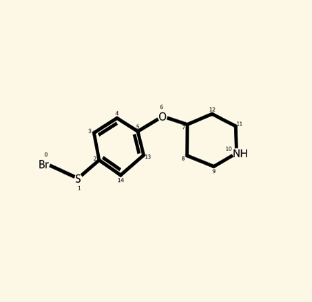 BrSc1ccc(OC2CCNCC2)cc1